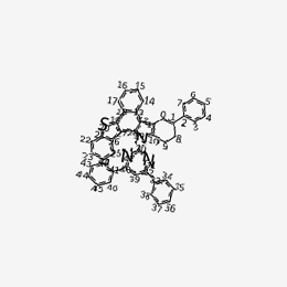 C1=C(c2ccccc2)CCc2c1c1c3ccccc3c3sc4ccccc4c3c1n2-c1nc(-c2ccccc2)cc(-c2ccccc2)n1